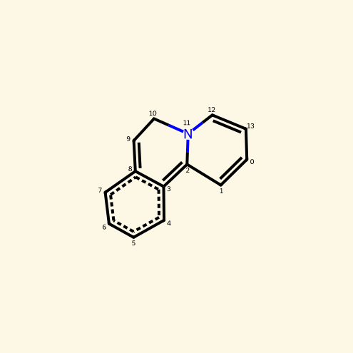 C1=CC2=c3ccccc3=CCN2C=C1